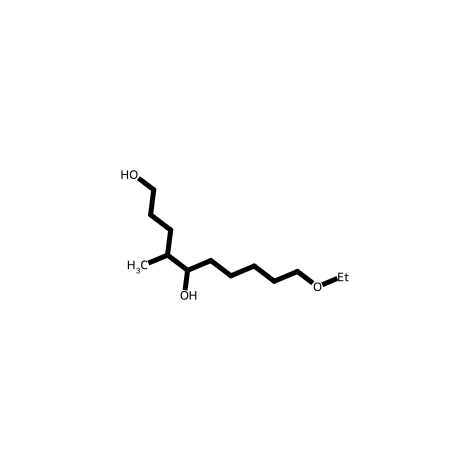 CCOCCCCCC(O)C(C)CCCO